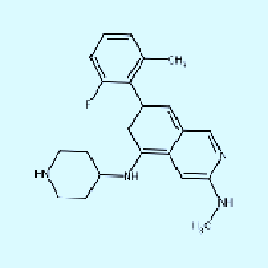 CNc1cc2c(cn1)=CC(c1c(C)cccc1F)CC=2NC1CCNCC1